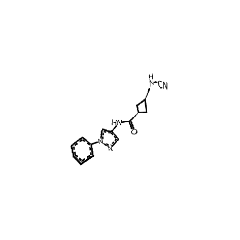 N#CN[C@H]1C[C@@H](C(=O)Nc2cnn(-c3ccccc3)c2)C1